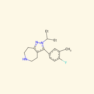 CCC(CC)n1nc2c(c1-c1ccc(F)c(C)c1)CCNCC2